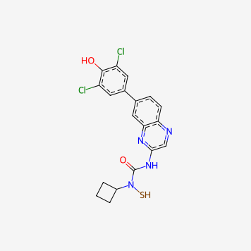 O=C(Nc1cnc2ccc(-c3cc(Cl)c(O)c(Cl)c3)cc2n1)N(S)C1CCC1